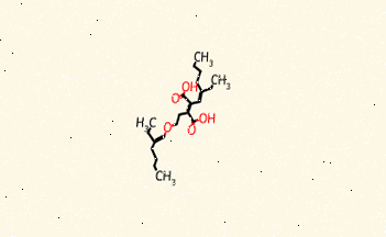 CCCCC(=COCCC(C(=O)O)=C(C=C(CC)CCCC)C(=O)O)CC